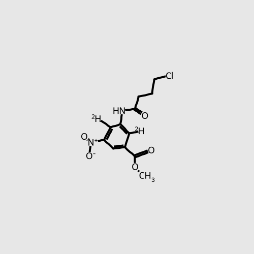 [2H]c1c(C(=O)OC)cc([N+](=O)[O-])c([2H])c1NC(=O)CCCCl